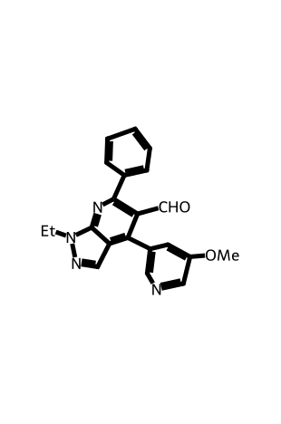 CCn1ncc2c(-c3cncc(OC)c3)c(C=O)c(-c3ccccc3)nc21